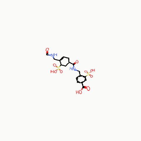 O=CNCC1=CCC(C(=O)NCc2ccc(C(=O)O)cc2S(=O)(=O)O)CC1S(=O)(=O)O